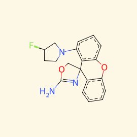 NC1=NC2(CO1)c1ccccc1Oc1cccc(N3CC[C@@H](F)C3)c12